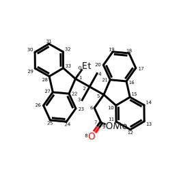 CCC1(C(C)(C)C2(CC(=O)OC)c3ccccc3-c3ccccc32)c2ccccc2-c2ccccc21